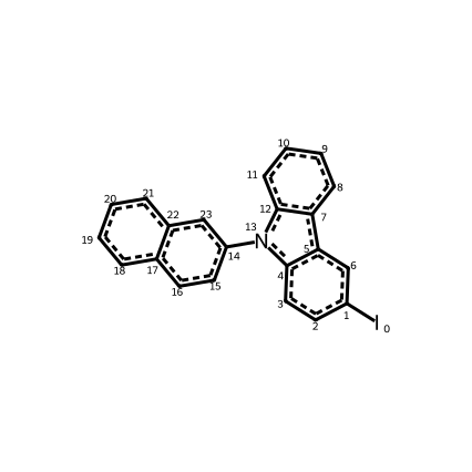 Ic1ccc2c(c1)c1ccccc1n2-c1ccc2ccccc2c1